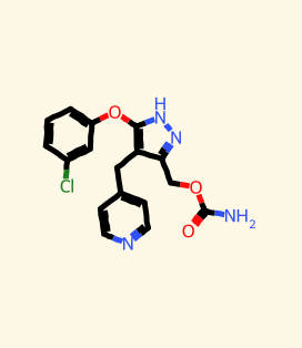 NC(=O)OCc1n[nH]c(Oc2cccc(Cl)c2)c1Cc1ccncc1